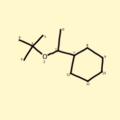 CC(OC(C)(C)C)C1CCCCC1